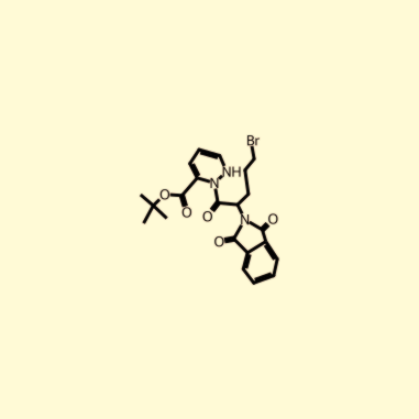 CC(C)(C)OC(=O)C1=CC=CNN1C(=O)C(CCCBr)N1C(=O)c2ccccc2C1=O